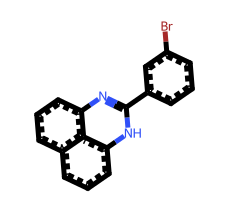 Brc1cccc(C2=Nc3cccc4cccc(c34)N2)c1